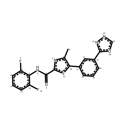 Cc1nc(C(=O)Nc2c(F)cccc2F)sc1-c1cccc(-c2nnco2)c1